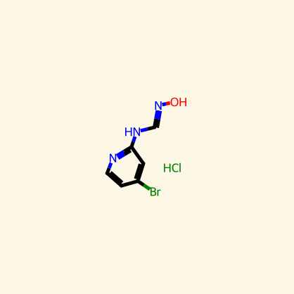 Cl.O/N=C/Nc1cc(Br)ccn1